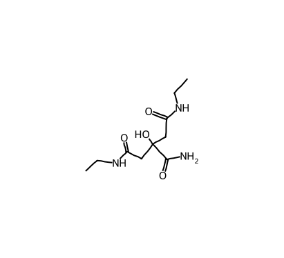 CCNC(=O)CC(O)(CC(=O)NCC)C(N)=O